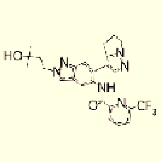 CC(C)(O)CCn1cc2cc(NC(=O)c3cccc(C(F)(F)F)n3)c(-c3cnn4c3CCC4)cc2n1